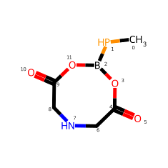 CPB1OC(=O)CNCC(=O)O1